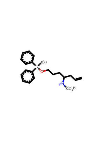 C=CCC(CCCO[Si](c1ccccc1)(c1ccccc1)C(C)(C)C)NC(=O)O